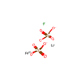 O=S(=O)([O-])[O-].O=S(=O)([O-])[O-].[F].[Fe+3].[Li+]